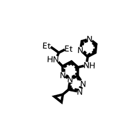 CCC(CC)Nc1cc(Nc2ccncn2)c2nnc(C3CC3)n2n1